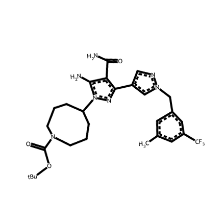 Cc1cc(Cn2cc(-c3nn(C4CCCN(C(=O)OC(C)(C)C)CCC4)c(N)c3C(N)=O)cn2)cc(C(F)(F)F)c1